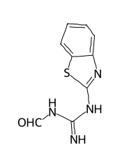 N=C(NC=O)Nc1nc2ccccc2s1